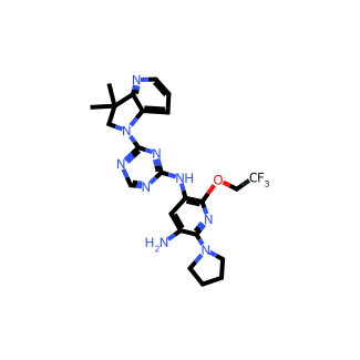 CC1(C)CN(c2ncnc(Nc3cc(N)c(N4CCCC4)nc3OCC(F)(F)F)n2)c2cccnc21